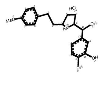 COc1ccc(CCC2CCC(C(O)c3ccc(O)c(O)c3)N2)cc1.Cl